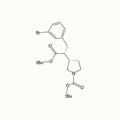 CC(C)(C)OC(=O)[C@H](Cc1cccc(Br)c1)[C@@H]1CCN(C(=O)OC(C)(C)C)C1